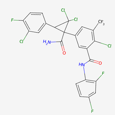 NC(=O)C1(c2cc(C(=O)Nc3ccc(F)cc3F)c(Cl)c(C(F)(F)F)c2)C(c2ccc(F)c(Cl)c2)C1(Cl)Cl